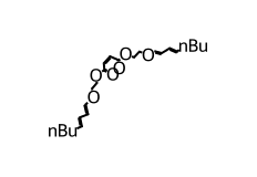 CCCCC=CC=COCCOC(=O)/C=C\C(=O)OCCOC=CC=CCCCC